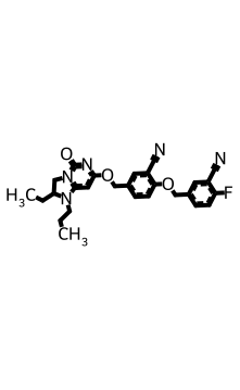 CCCN1c2cc(OCc3ccc(OCc4ccc(F)c(C#N)c4)c(C#N)c3)nc(=O)n2CC1CC